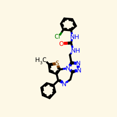 Cc1cc2c(s1)-n1c(nnc1CNC(=O)Nc1ccccc1Cl)CN=C2c1ccccc1